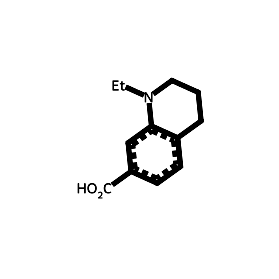 CCN1CCCc2ccc(C(=O)O)cc21